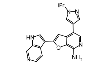 CC(C)n1cc(-c2cnc(N)c3oc(-c4c[nH]c5cnccc45)cc23)cn1